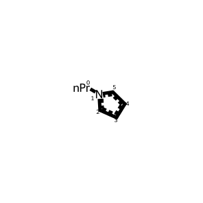 CCCn1cccc1